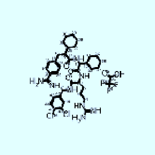 N=C(N)NCCC[C@H](NC(=O)C(NC(=O)C(Cc1ccc(C(=N)N)cc1)C1CCCCC1)C1CCCCC1)C(=O)NCc1ccc(Cl)c(Cl)c1.O=C(O)C(F)(F)F